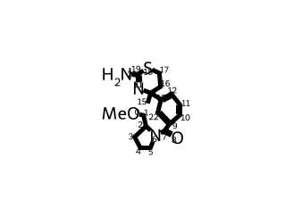 COCC1CCCN1C(=O)c1cccc(C2(C)CCSC(N)=N2)c1